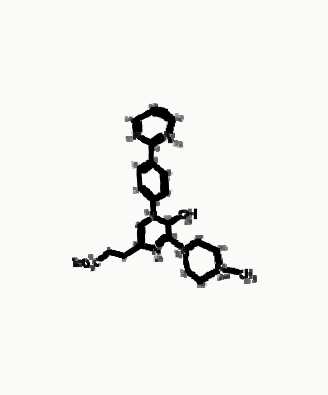 CCOC(=O)CCC1=CN(c2ccc(-c3ncccn3)cc2)C(O)C(N2CCN(C)CC2)=N1